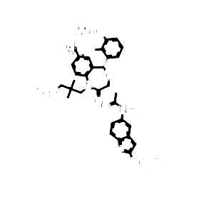 CCOC(=O)c1cc2cc(NC(=O)C[C@H]3O[C@H](c4cccc(OC)c4OC)c4cc(Cl)ccc4N(CC(C)(C)COC(C)=O)C3=O)ccc2s1